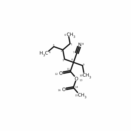 CCC(CC)CC(C#N)(CC)C(=O)OC(C)=O